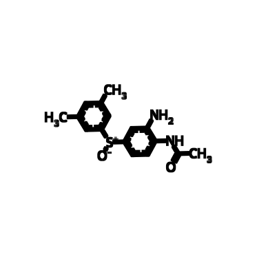 CC(=O)Nc1ccc([S+]([O-])c2cc(C)cc(C)c2)cc1N